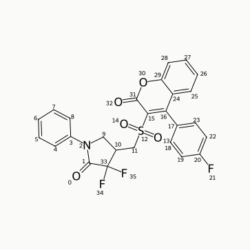 O=C1N(c2ccccc2)CC(CS(=O)(=O)c2c(-c3ccc(F)cc3)c3ccccc3oc2=O)C1(F)F